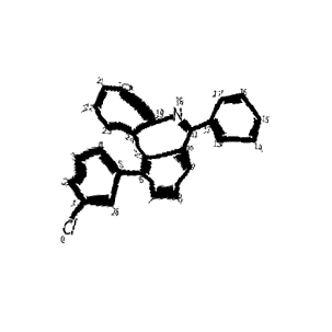 Clc1cccc(-c2cccc3c(-c4ccccc4)nc4ccccc4c23)c1